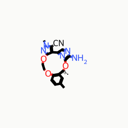 Cc1ccc2c(c1)[C@@H](C)Oc1nc(cnc1N)-c1c(nn(C)c1C#N)OCCO2